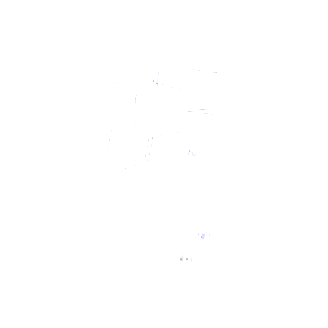 CCCCNCCCNC1c2ccccc2NC(=O)c2ccccc21